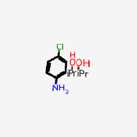 CC(C)O.CC(C)O.Nc1ccc(Cl)cc1